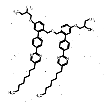 CCCCCCCCc1cnc(-c2ccc(-c3cc(OCC(C)CC)ccc3COCc3ccc(OCC(C)CC)cc3-c3ccc(-c4ncc(CCCCCCCC)cn4)cc3)cc2)nc1